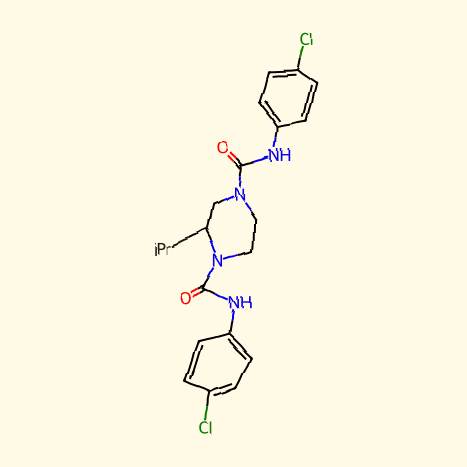 CC(C)C1CN(C(=O)Nc2ccc(Cl)cc2)CCN1C(=O)Nc1ccc(Cl)cc1